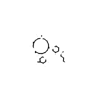 CCOC(=O)CCCN(C)[C@H]1C[C@@H](C)O[C@@H](O[C@@H]2[C@@H](C)[C@H](C3C[C@@](C)(OC)[C@@H](O)[C@H](C)O3)[C@@H](C)C(=O)O[C@H](CC)[C@@](C)(O)[C@H](O)[C@@H](C)N(C)C[C@H](C)C[C@@]2(C)O)[C@@H]1O